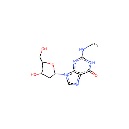 CNc1nc2c(ncn2C2CC(O)C(CO)O2)c(=O)[nH]1